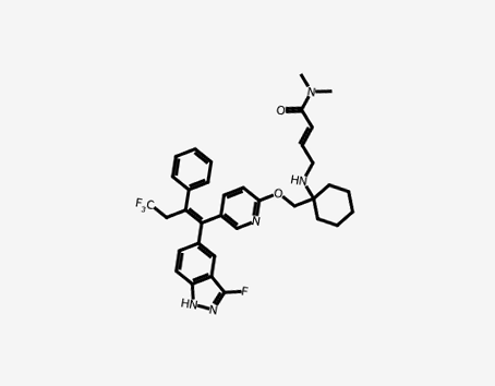 CN(C)C(=O)C=CCNC1(COc2ccc(/C(=C(/CC(F)(F)F)c3ccccc3)c3ccc4[nH]nc(F)c4c3)cn2)CCCCC1